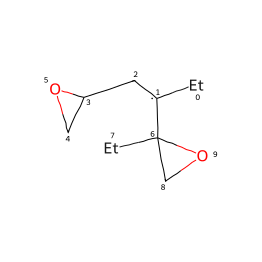 CC[C](CC1CO1)C1(CC)CO1